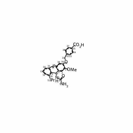 COc1cc(C(NC(N)=O)c2c(C(C)C)cccc2C(C)C)ccc1OCc1ccc(C(=O)O)cc1